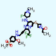 C=CC(=O)N1CC(Sc2cc(N[C@@H]3CCN(C)C[C@@H]3F)c3nc(C#CCNc4ccc(S(C)(=O)=O)cc4OC)c(CC(F)(F)F)n3c2)C1